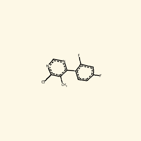 Cc1c(Cl)ncnc1-c1ccc(F)cc1F